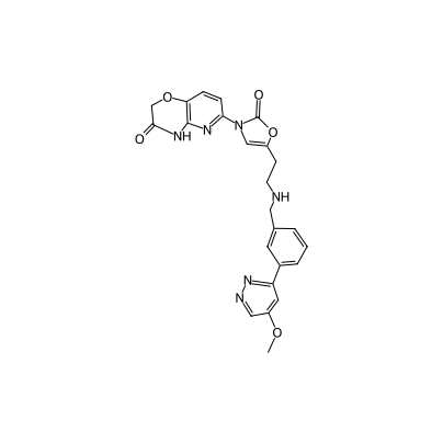 COc1cnnc(-c2cccc(CNCCc3cn(-c4ccc5c(n4)NC(=O)CO5)c(=O)o3)c2)c1